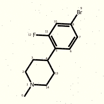 CN1CCC(c2ccc(Br)cc2F)CC1